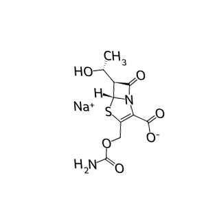 C[C@@H](O)[C@H]1C(=O)N2C(C(=O)[O-])=C(COC(N)=O)S[C@H]12.[Na+]